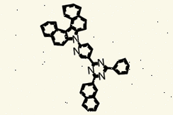 c1ccc(-c2nc(-c3ccc(-n4c5ccc6ccccc6c5c5c6ccccc6ccc54)nc3)nc(-c3ccc4ccccc4c3)n2)cc1